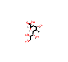 C[C@H]1[C@H]([C@H](O)[C@H](O)CO)O[C@@](C)(C(=O)O)C[C@H]1O